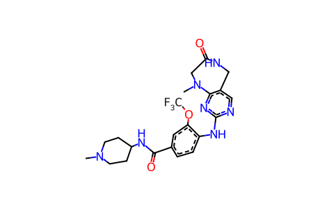 CN1CCC(NC(=O)c2ccc(Nc3ncc4c(n3)N(C)CC(=O)NC4)c(OC(F)(F)F)c2)CC1